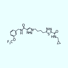 O=C(NCc1cccc(OC(F)(F)F)c1)c1cn(CCCCc2nnc(C(=O)NCC3CC3)s2)nn1